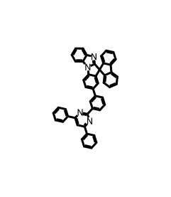 c1ccc(-c2cc(-c3ccccc3)nc(-c3cccc(-c4ccc5c(c4)C4(c6ccccc6-c6ccccc64)c4nc6ccccc6n4-5)c3)n2)cc1